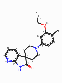 Cc1ccc(N2CCC3(CC2)C(=O)Nc2ncccc23)cc1OCC(F)(F)F